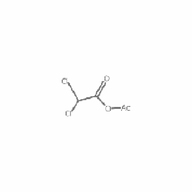 CC(=O)OC(=O)[C](Cl)Cl